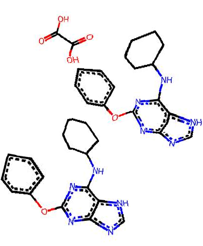 O=C(O)C(=O)O.c1ccc(Oc2nc(NC3CCCCC3)c3[nH]cnc3n2)cc1.c1ccc(Oc2nc(NC3CCCCC3)c3[nH]cnc3n2)cc1